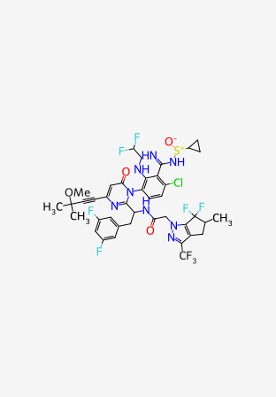 COC(C)(C)C#Cc1cc(=O)n(-c2ccc(Cl)c(C(=N)N[S+]([O-])C3CC3)c2NCC(F)F)c(C(Cc2cc(F)cc(F)c2)NC(=O)Cn2nc(C(F)(F)F)c3c2C(F)(F)C(C)C3)n1